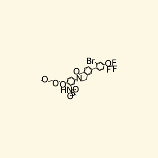 COCCOCOc1ccc(N2CCc3cc(-c4ccc(OC(F)(F)F)cc4Br)ccc3C2=O)cc1NS(C)(=O)=O